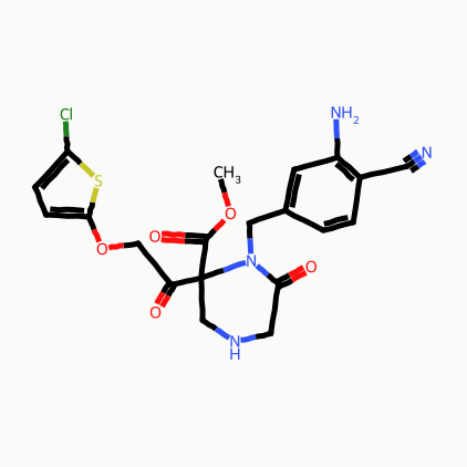 COC(=O)C1(C(=O)COc2ccc(Cl)s2)CNCC(=O)N1Cc1ccc(C#N)c(N)c1